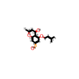 CC(C)=CCOc1cc(P=O)cc2oc(C)cc(=O)c12